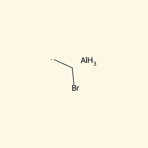 [AlH3].[CH2]CBr